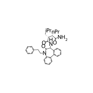 CCC[C@H](C(N)=O)[C@@H](CC(C)C)C(=O)NC1C(=O)N(CCc2ccccc2)c2ccccc2-c2ccccc21